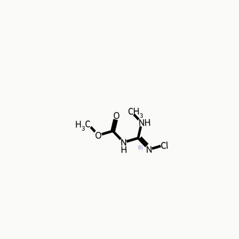 CN/C(=N\Cl)NC(=O)OC